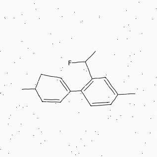 Cc1ccc(C2=CCC(C)C=C2)c(C(C)F)c1